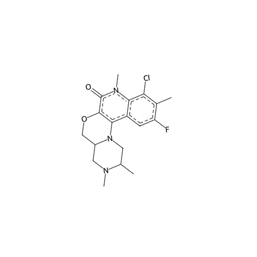 Cc1c(F)cc2c3c(c(=O)n(C)c2c1Cl)OCC1CN(C)C(C)CN31